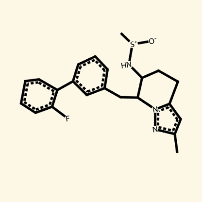 Cc1cc2n(n1)C(Cc1cccc(-c3ccccc3F)c1)C(N[S+](C)[O-])CC2